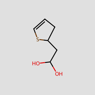 OC(O)CC1CC=CS1